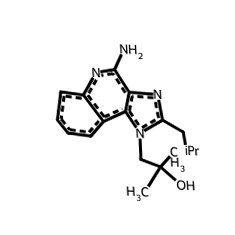 CC(C)Cc1nc2c(N)nc3ccccc3c2n1CC(C)(C)O